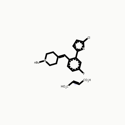 CCCCN1CCC(=Cc2ccc(F)cc2-c2ccc(Cl)s2)CC1.O=C(O)/C=C/C(=O)O